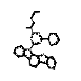 C/C=C\C=C(/C)c1nc(-c2ccccc2)nc(-n2c3ccccc3c3ccc4c5ccccc5sc4c32)n1